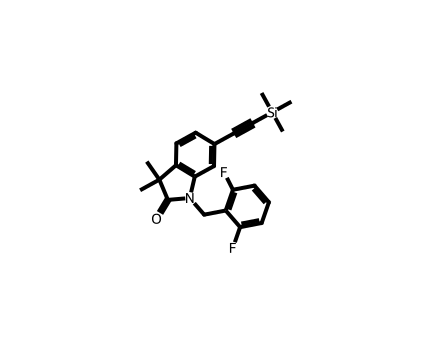 CC1(C)C(=O)N(Cc2c(F)cccc2F)c2cc(C#C[Si](C)(C)C)ccc21